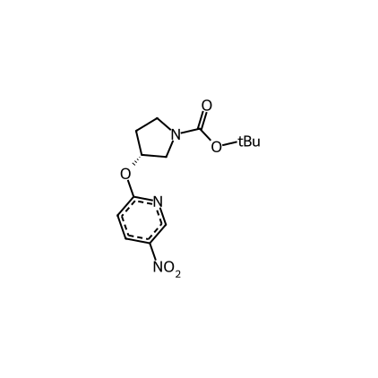 CC(C)(C)OC(=O)N1CC[C@@H](Oc2ccc([N+](=O)[O-])cn2)C1